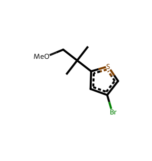 COCC(C)(C)c1cc(Br)cs1